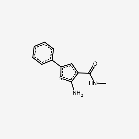 CNC(=O)c1cc(-c2ccccc2)sc1N